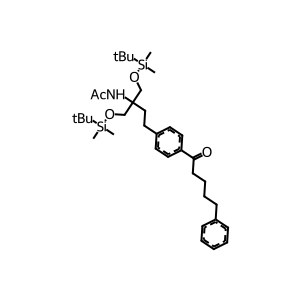 CC(=O)NC(CCc1ccc(C(=O)CCCCc2ccccc2)cc1)(CO[Si](C)(C)C(C)(C)C)CO[Si](C)(C)C(C)(C)C